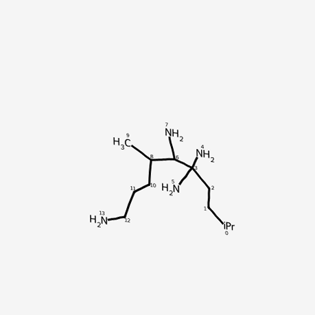 CC(C)CCC(N)(N)C(N)C(C)CCCN